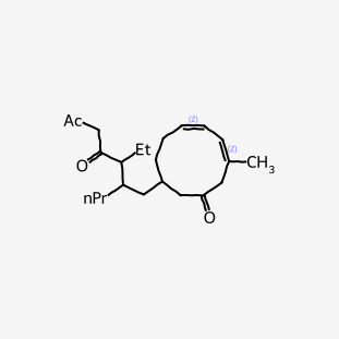 CCCC(CC1CC/C=C\C=C(\C)CC(=O)C1)C(CC)C(=O)CC(C)=O